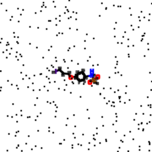 CS(=O)(=O)Nc1ccc(OCCCI)cc1